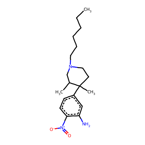 CCCCCCN1CCC(C)(c2ccc([N+](=O)[O-])c(N)c2)C(C)C1